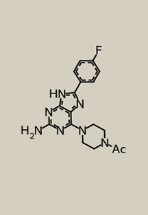 CC(=O)N1CCN(c2nc(N)nc3[nH]c(-c4ccc(F)cc4)nc23)CC1